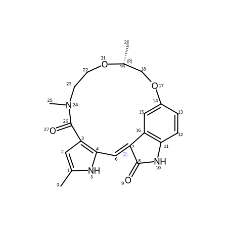 Cc1cc2c([nH]1)/C=C1\C(=O)Nc3ccc(cc31)OC[C@@H](C)OCCN(C)C2=O